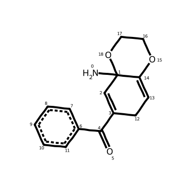 NC12C=C(C(=O)c3ccccc3)CC=C1OCCO2